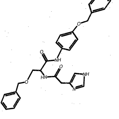 O=C(Cc1c[nH]cn1)NC(COCc1ccccc1)C(=O)Nc1ccc(OCc2ccccc2)cc1